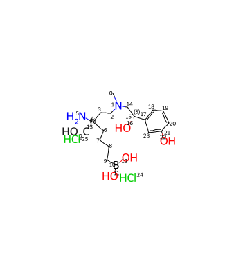 CN(CC[C@](N)(CCCCB(O)O)C(=O)O)C[C@@H](O)c1cccc(O)c1.Cl.Cl